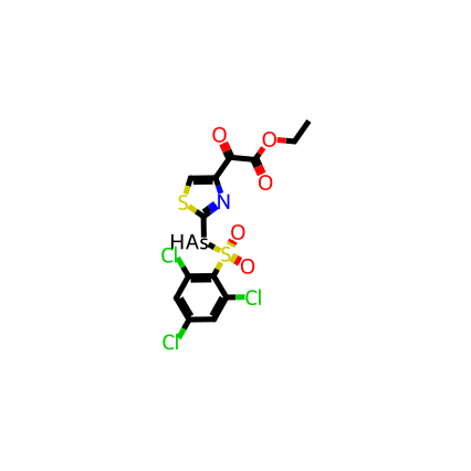 CCOC(=O)C(=O)c1csc([AsH]S(=O)(=O)c2c(Cl)cc(Cl)cc2Cl)n1